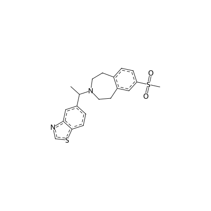 CC(c1ccc2scnc2c1)N1CCc2ccc(S(C)(=O)=O)cc2CC1